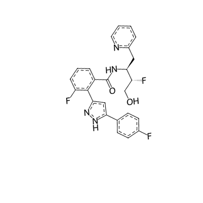 O=C(N[C@@H](Cc1ccccn1)[C@H](F)CO)c1cccc(F)c1-c1cc(-c2ccc(F)cc2)[nH]n1